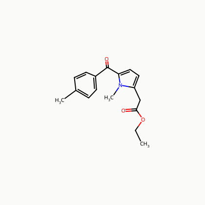 CCOC(=O)Cc1ccc(C(=O)c2ccc(C)cc2)n1C